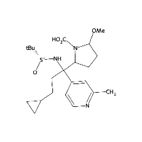 COC1CCC(C(CCC2CC2)(N[S@+]([O-])C(C)(C)C)c2ccnc(C)c2)N1C(=O)O